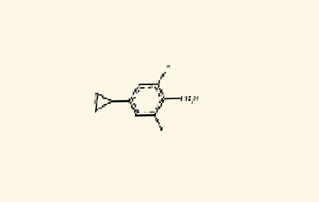 Cc1cc(C2CC2)cc(F)c1C(=O)O